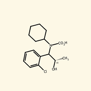 C[C@H](O)C(c1ccccc1Cl)N(C(=O)O)C1CCCCC1